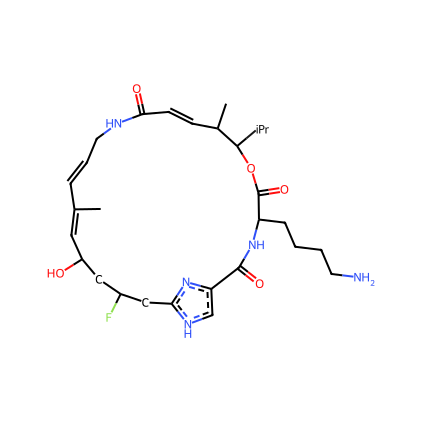 CC1=C\C(O)CC(F)Cc2nc(c[nH]2)C(=O)NC(CCCCN)C(=O)OC(C(C)C)C(C)/C=C/C(=O)NC\C=C\1